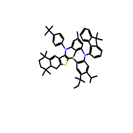 CCC(C)(C)c1cc2c(cc1C(C)C)N(c1cccc3c1-c1ccccc1C3(C)C)c1cc(C)cc3c1B2c1sc2c(c1N3c1ccc(C(C)(C)C)cc1)C=C1C(C2)C(C)(C)CCC1(C)C